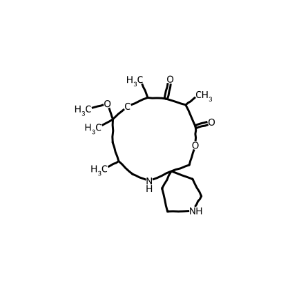 COC1(C)CC(C)CNC2(CCNCC2)COC(=O)C(C)C(=O)C(C)C1